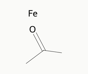 CC(C)=O.[Fe]